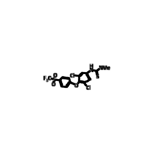 CNC(=S)Nc1cc(Cl)c(Oc2ccc(S(=O)(=O)C(F)(F)F)cc2)c(Cl)c1